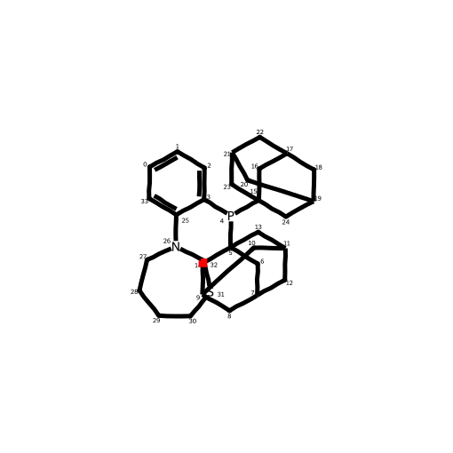 c1ccc(P(C23CC4CC(CC(C4)C2)C3)C23CC4CC(CC(C4)C2)C3)c(N2CCCCSC2)c1